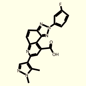 Cc1c(-c2cc(C(=O)O)c3c(ccc4nn(-c5cccc(F)c5)nc43)n2)cnn1C